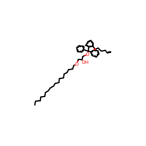 C=CCCCCc1ccccc1C(OCC(O)COCCCCCCCCCCCCCCCCCC)(c1ccccc1)c1ccccc1